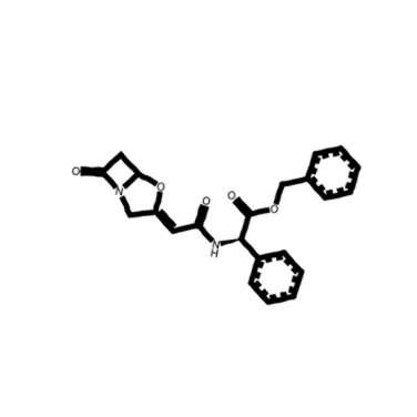 O=C(/C=C1/CN2C(=O)CC2O1)N[C@@H](C(=O)OCc1ccccc1)c1ccccc1